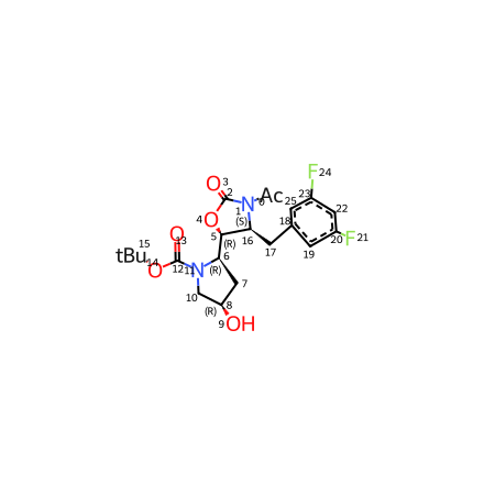 CC(=O)N1C(=O)O[C@H]([C@H]2C[C@@H](O)CN2C(=O)OC(C)(C)C)[C@@H]1Cc1cc(F)cc(F)c1